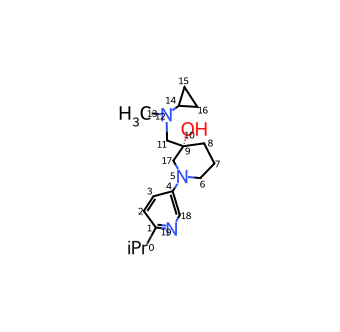 CC(C)c1ccc(N2CCC[C@](O)(CN(C)C3CC3)C2)cn1